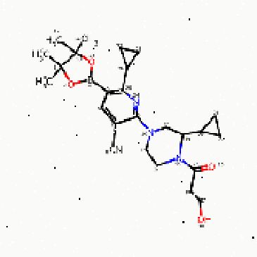 CC1(C)OB(c2cc(C#N)c(N3CCN(C(=O)CCO)C(C4CC4)C3)nc2C2CC2)OC1(C)C